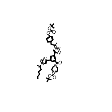 CCCCC[C@@H](C)n1cc(-c2cc(C(=O)N3CCN(C(=O)OC(C)(C)C)CC3)cc(-c3cn([C@H](C)Cc4ccc(OC(=O)OC(C)(C)C)cc4)nn3)c2)nn1